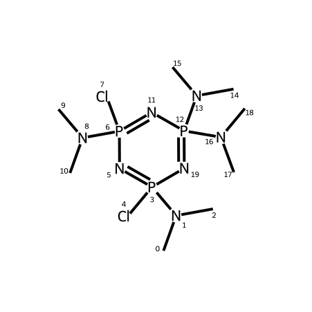 CN(C)P1(Cl)=NP(Cl)(N(C)C)=NP(N(C)C)(N(C)C)=N1